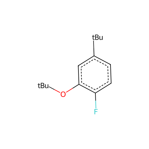 CC(C)(C)Oc1cc(C(C)(C)C)ccc1F